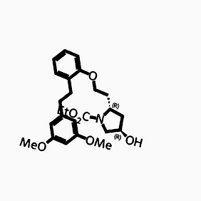 CCOC(=O)N1C[C@H](O)C[C@H]1CCOc1ccccc1CCc1cc(OC)cc(OC)c1